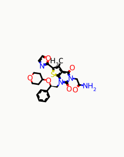 Cc1c(-c2ncco2)sc2c1c(=O)n(CC(N)=O)c(=O)n2C[C@H](OC1CCOCC1)c1ccccc1